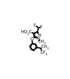 CC(c1cccc(Oc2c(C(=O)O)c(C(F)F)nn2C)c1)C(F)(F)F